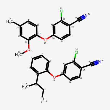 CCC(C)c1ccccc1Oc1ccc(C#N)c(Cl)c1.COc1cc(C)ccc1Oc1ccc(C#N)c(Cl)c1